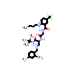 CCCCNc1ccc(C(F)(F)F)cc1C(=O)NCC(=O)NC(CNCc1ccc(C)cc1C)C(=O)NC(C)(C)C